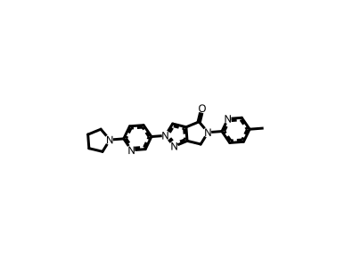 Cc1ccc(N2Cc3nn(-c4ccc(N5CCCC5)nc4)cc3C2=O)nc1